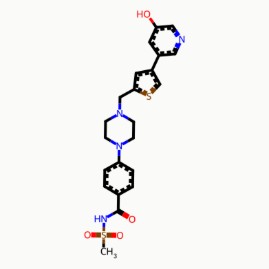 CS(=O)(=O)NC(=O)c1ccc(N2CCN(Cc3cc(-c4cncc(O)c4)cs3)CC2)cc1